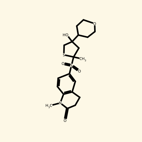 CN1C(=O)CCc2cc(S(=O)(=O)C3(C)CC(O)(C4CCOCC4)CS3)ccc21